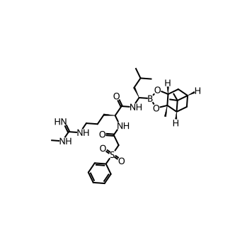 CNC(=N)NCCC[C@H](NC(=O)CS(=O)(=O)c1ccccc1)C(=O)N[C@@H](CC(C)C)B1O[C@@H]2C[C@@H]3C[C@@H](C3(C)C)[C@]2(C)O1